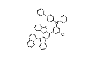 Clc1cc(-c2cc3c4ccccc4n(-c4cccc5ccccc45)c3c3c2sc2ccccc23)cc(N(c2ccccc2)c2ccc(-c3ccccc3)cc2)c1